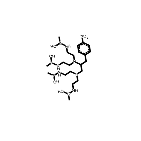 CB(O)NCCN(CCNB(C)O)CC(Cc1ccc([N+](=O)[O-])cc1)N(CCNB(C)O)CCNB(C)O